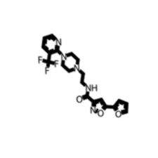 O=C(NCCN1CCN(c2ncccc2C(F)(F)F)CC1)c1cc(-c2ccco2)on1